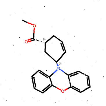 COC(=O)[C@@H]1CC=C[C@@H](N2c3ccccc3Oc3ccccc32)C1